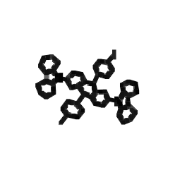 Cc1ccc(-c2c3ccc(-n4c5ccccc5c5ccccc54)cc3c(-c3ccc(I)cc3)c3ccc(-n4c5ccccc5c5ccccc54)cc23)cc1